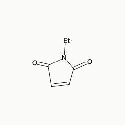 C[CH]N1C(=O)C=CC1=O